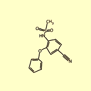 CS(=O)(=O)Nc1ccc(C#N)cc1Oc1ccccc1